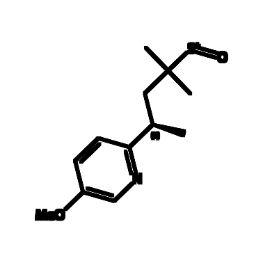 COc1ccc([C@H](C)CC(C)(C)[S+]=O)nc1